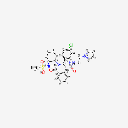 CS(=O)(=O)N[C@H]1CCCCC1N1C(=O)c2ccccc2[C@@H](C(=O)NCCn2cccc2)[C@@H]1c1ccc(Cl)cc1